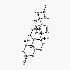 CCC1([C@@]23C=CC4(CC2)[C@@H]2CCC5=C(CCC(=O)C5)[C@H]2CC[C@@]43C)OC(C)O1